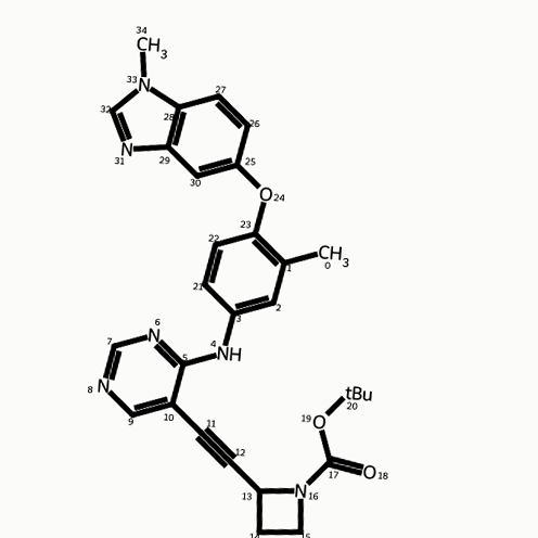 Cc1cc(Nc2ncncc2C#CC2CCN2C(=O)OC(C)(C)C)ccc1Oc1ccc2c(c1)ncn2C